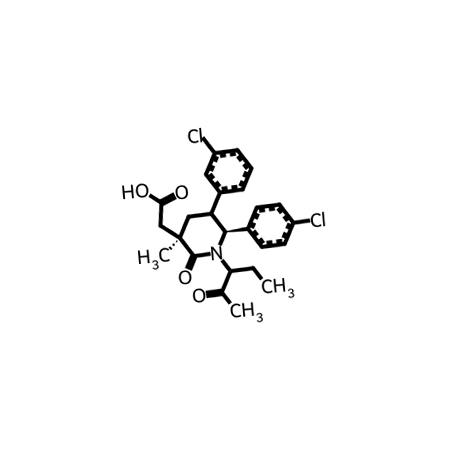 CCC(C(C)=O)N1C(=O)[C@@](C)(CC(=O)O)CC(c2cccc(Cl)c2)[C@H]1c1ccc(Cl)cc1